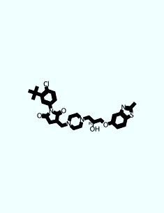 Cc1nc2cc(OC[C@H](O)CN3CCN(CC4CC(=O)N(c5ccc(Cl)c(C(C)(C)C)c5)C4=O)CC3)ccc2s1